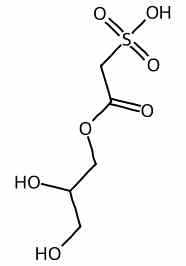 O=C(CS(=O)(=O)O)OCC(O)CO